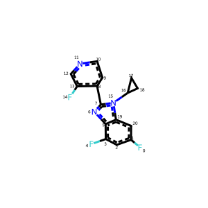 Fc1cc(F)c2nc(-c3ccncc3F)n(C3CC3)c2c1